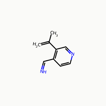 C=C(C)c1cnccc1C=N